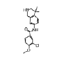 COc1ccc(C(=O)Nc2ccc3c(c2)CNCC3(C)C)cc1Cl